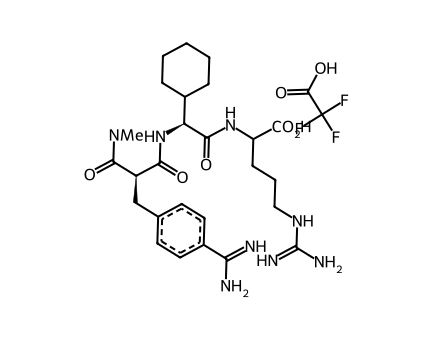 CNC(=O)[C@H](Cc1ccc(C(=N)N)cc1)C(=O)N[C@H](C(=O)NC(CCCNC(=N)N)C(=O)O)C1CCCCC1.O=C(O)C(F)(F)F